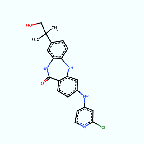 CC(C)(CO)c1ccc2c(c1)NC(=O)c1ccc(Nc3ccnc(Cl)c3)cc1N2